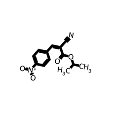 CC(C)OC(=O)C(C#N)=Cc1ccc([N+](=O)[O-])cc1